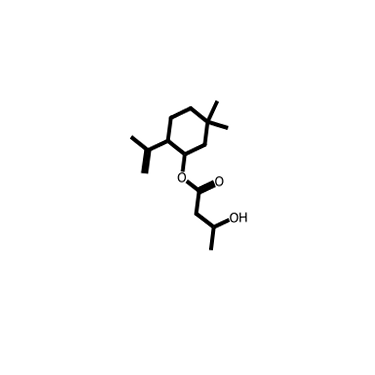 C=C(C)C1CCC(C)(C)CC1OC(=O)CC(C)O